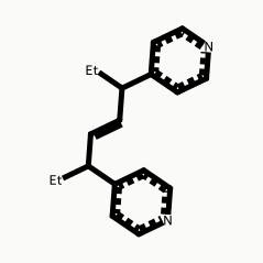 CCC(C=CC(CC)c1ccncc1)c1ccncc1